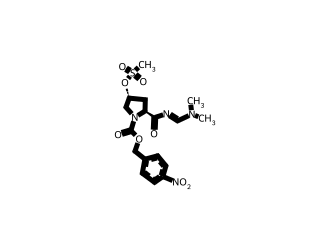 CN(C)C=NC(=O)[C@@H]1C[C@@H](OS(C)(=O)=O)CN1C(=O)OCc1ccc([N+](=O)[O-])cc1